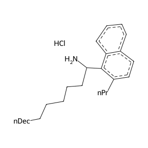 CCCCCCCCCCCCCCCC(N)c1c(CCC)ccc2ccccc12.Cl